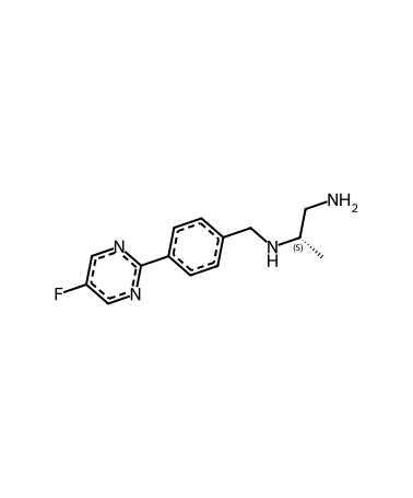 C[C@@H](CN)NCc1ccc(-c2ncc(F)cn2)cc1